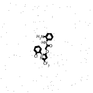 Nc1ccccc1NC(=O)COc1cc(C(F)(F)F)nn1-c1ccccc1Cl